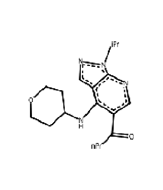 CCCC(=O)c1cnc2c(cnn2C(C)C)c1NC1CCOCC1